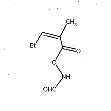 CCC=C(C)C(=O)ONC=O